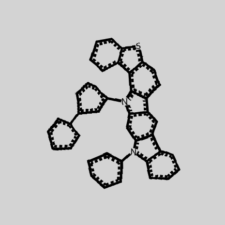 c1ccc(-c2cccc(-n3c4cc5c(cc4c4ccc6sc7ccccc7c6c43)c3ccccc3n5-c3ccccc3)c2)cc1